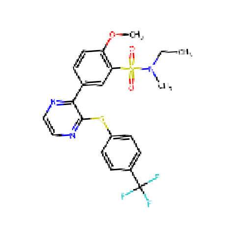 CCN(C)S(=O)(=O)c1cc(-c2nccnc2Sc2ccc(C(F)(F)F)cc2)ccc1OC